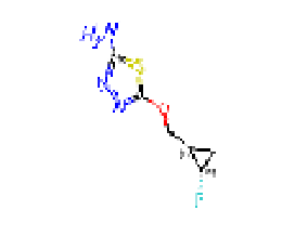 Nc1nnc(OC[C@H]2C[C@@H]2F)s1